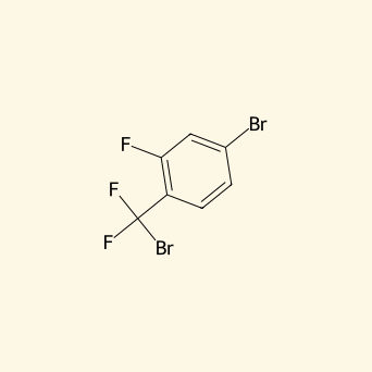 Fc1cc(Br)ccc1C(F)(F)Br